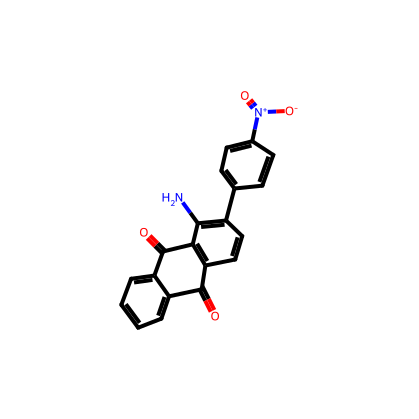 Nc1c(-c2ccc([N+](=O)[O-])cc2)ccc2c1C(=O)c1ccccc1C2=O